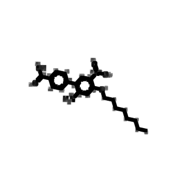 CCCCCCCCOc1cc(N)c(-c2ccc(C(=O)O)cc2)cc1[N+](=O)[O-]